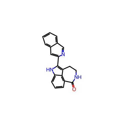 O=C1NCCc2c(-c3cc4ccccc4cn3)[nH]c3cccc1c23